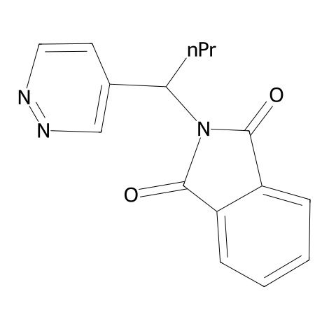 CCCC(c1ccnnc1)N1C(=O)c2ccccc2C1=O